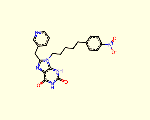 O=c1[nH]c(=O)c2nc(Cc3cccnc3)n(CCCCCc3ccc([N+](=O)[O-])cc3)c2[nH]1